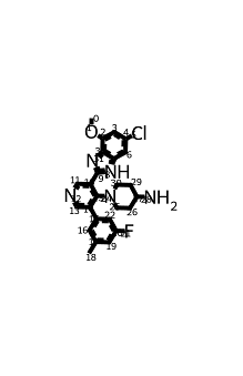 COc1cc(Cl)cc2[nH]c(-c3cncc(-c4cc(C)cc(F)c4)c3N3CCC(N)CC3)nc12